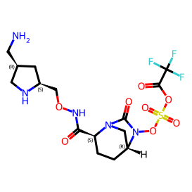 NC[C@@H]1CN[C@H](CONC(=O)[C@@H]2CC[C@@H]3CN2C(=O)N3OS(=O)(=O)OC(=O)C(F)(F)F)C1